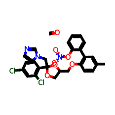 C=O.Cc1ccc(OCC2COC(Cn3ccnc3)(c3ccc(Cl)cc3Cl)O2)c(-c2ccccc2O[N+](=O)[O-])c1